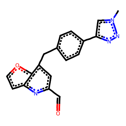 Cn1cc(-c2ccc(Cc3cc(C=O)nc4ccoc34)cc2)nn1